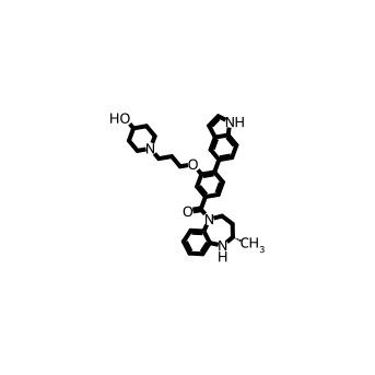 C[C@H]1CCN(C(=O)c2ccc(-c3ccc4[nH]ccc4c3)c(OCCCN3CCC(O)CC3)c2)c2ccccc2N1